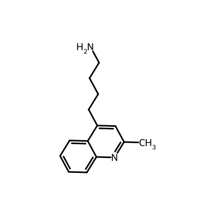 Cc1cc(CCCCN)c2ccccc2n1